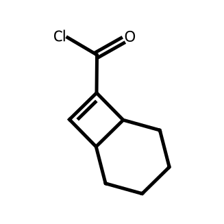 O=C(Cl)C1=CC2CCCCC12